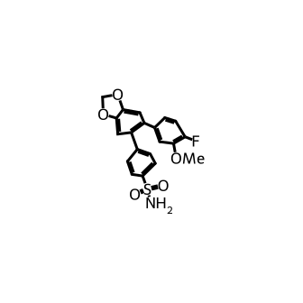 COc1cc(-c2cc3c(cc2-c2ccc(S(N)(=O)=O)cc2)OCO3)ccc1F